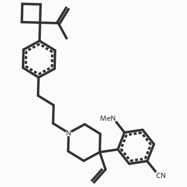 C=CC1(c2cc(C#N)ccc2NC)CCN(CCCc2ccc(C3(C(=C)C)CCC3)cc2)CC1